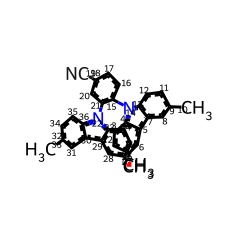 Cc1ccc2c(c1)c1cc(C)ccc1n2-c1ccc(C#N)cc1-n1c2ccc(C)cc2c2cc(C)ccc21